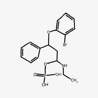 CCNC(CC(Oc1ccccc1Br)c1ccccc1)OP(=O)(O)O